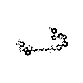 O=C(CN1CCN(c2cccc(-c3cnc4ccc(N5CCC[C@H]5c5cccc(F)c5)nn34)n2)CC1)NCCOCCOCCNc1cccc2c1C(=O)N(C1CCC(=O)NC1=O)C2=O